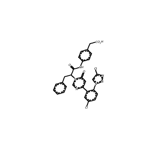 O=C(O)Cc1ccc(NC(=O)C(Cc2ccccc2)n2cnc(-c3cc(Cl)ccc3-n3cc(Cl)nn3)cc2=O)cc1